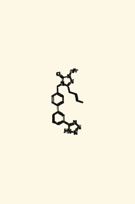 CC=CCc1nn(CCC)c(=O)n1Cc1ccc(-c2cccc(-c3nnn[nH]3)c2)cc1